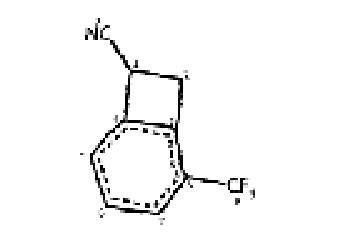 N#CC1Cc2c1cccc2C(F)(F)F